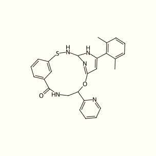 Cc1cccc(C)c1C1=CC2=NC(NSc3cccc(c3)C(=O)NCC(c3ccccn3)O2)N1